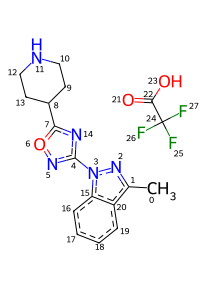 Cc1nn(-c2noc(C3CCNCC3)n2)c2ccccc12.O=C(O)C(F)(F)F